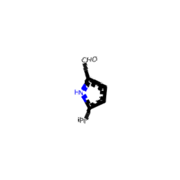 CC(C)c1ccc(C=O)[nH]1